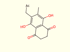 CC(=O)Cc1c(C)c(O)c2c(c1O)C(=O)CCC2=O